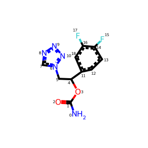 NC(=O)OC(Cn1cnnn1)c1ccc(F)c(F)c1